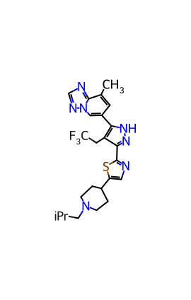 Cc1cc(-c2[nH]nc(-c3ncc(C4CCN(CC(C)C)CC4)s3)c2CC(F)(F)F)cn2ncnc12